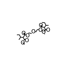 CCC(C)C(C(=O)OC)C(=O)OCCOCCOC(=O)C(C(=O)OC)C(C)CC